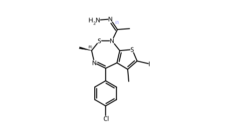 C/C(=N/N)N1S[C@H](C)N=C(c2ccc(Cl)cc2)c2c1sc(I)c2C